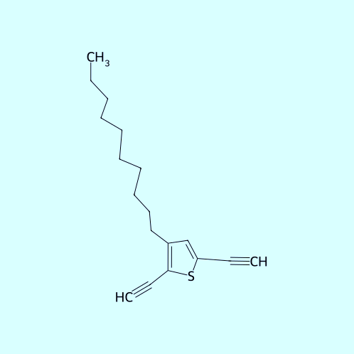 C#Cc1cc(CCCCCCCCCC)c(C#C)s1